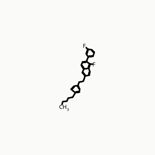 CCCCCc1ccc(CCc2ccc3c(F)c(-c4cccc(F)c4)ccc3c2)cc1